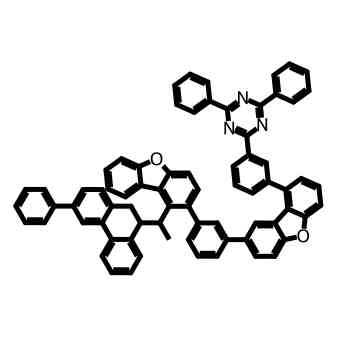 CC(c1c(-c2cccc(-c3ccc4oc5cccc(-c6cccc(-c7nc(-c8ccccc8)nc(-c8ccccc8)n7)c6)c5c4c3)c2)ccc2oc3ccccc3c12)C1Cc2ccc(-c3ccccc3)cc2-c2ccccc21